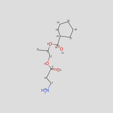 [CH2]C(COC(=O)CCN)OC(=O)C1CCCCC1